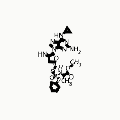 CCOC(=O)[C@@H](C)N[P@](=O)(OC[C@@H]1CC(=N)[C@H](n2cnc3c(NC4CC4)nc(N)nc32)O1)Oc1ccccc1